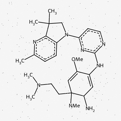 CNC1(CCN(C)C)C=C(OC)C(Nc2nccc(N3CC(C)(C)c4nc(C)ccc43)n2)=CC1N